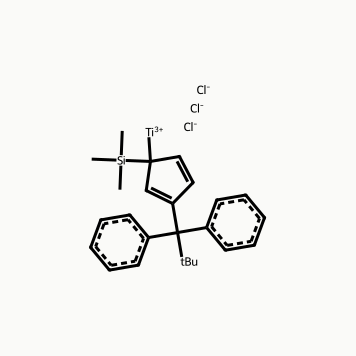 CC(C)(C)C(C1=C[C]([Ti+3])([Si](C)(C)C)C=C1)(c1ccccc1)c1ccccc1.[Cl-].[Cl-].[Cl-]